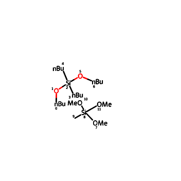 CCCCO[Si](CCCC)(CCCC)OCCCC.CO[Si](C)(OC)OC